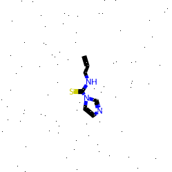 C=CCNC(=S)n1ccnc1